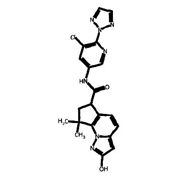 CC1(C)CC(C(=O)Nc2cnc(-n3nccn3)c(Cl)c2)c2ccc3cc(O)nn3c21